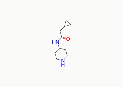 O=C(CC1CC1)NC1CCNCC1